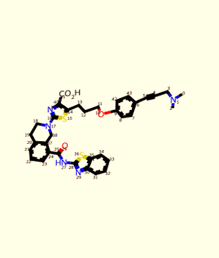 CN(C)CC#Cc1ccc(OCCCc2sc(N3CCc4cccc(C(=O)Nc5nc6ccccc6s5)c4C3)nc2C(=O)O)cc1